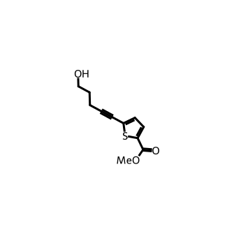 COC(=O)c1ccc(C#CCCCO)s1